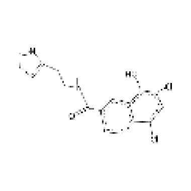 O=C(NCCC1=CCC=N1)c1ccc2c(Cl)cc(Cl)c(O)c2c1